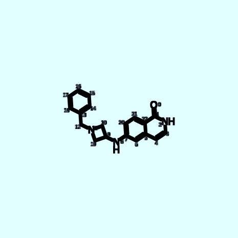 O=c1[nH]ccc2cc(NC3CN(Cc4ccccc4)C3)ccc12